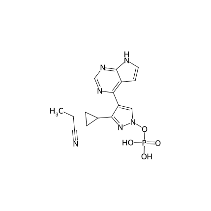 CCC#N.O=P(O)(O)On1cc(-c2ncnc3[nH]ccc23)c(C2CC2)n1